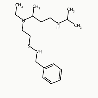 CCN(CCSNCc1ccccc1)C(C)CCNC(C)C